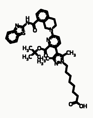 Cc1nn(CCCCCCCC(=O)O)c(C)c1-c1ccc(N2CCc3cccc(C(=O)Nc4nc5ccccc5s4)c3C2)nc1C(=O)OC(C)(C)C